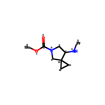 CC(C)NC1CN(C(=O)OC(C)(C)C)CC12CC2